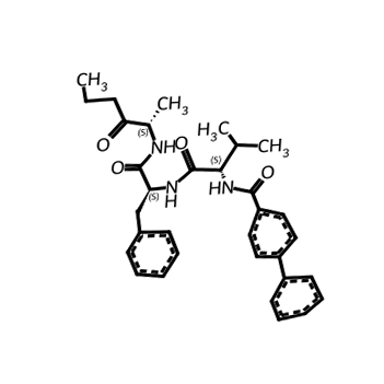 CCCC(=O)[C@H](C)NC(=O)[C@H](Cc1ccccc1)NC(=O)[C@@H](NC(=O)c1ccc(-c2ccccc2)cc1)C(C)C